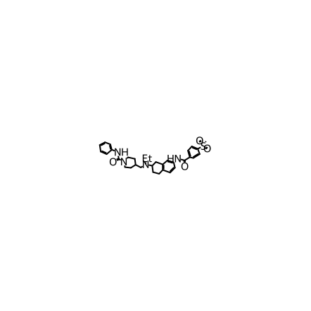 CCN(CC1CCN(C(=O)Nc2ccccc2)CC1)C1CCc2ccc(NC(=O)c3ccc(S(C)(=O)=O)cc3)cc2C1